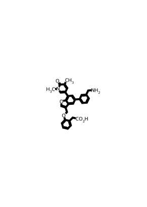 Cc1cc(-c2cc(-c3cccc(CN)c3)cc3c(COc4ccccc4CC(=O)O)coc23)cn(C)c1=O